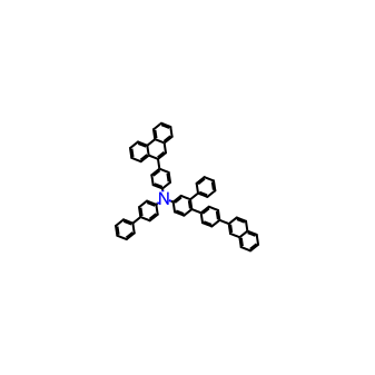 c1ccc(-c2ccc(N(c3ccc(-c4cc5ccccc5c5ccccc45)cc3)c3ccc(-c4ccc(-c5ccc6ccccc6c5)cc4)c(-c4ccccc4)c3)cc2)cc1